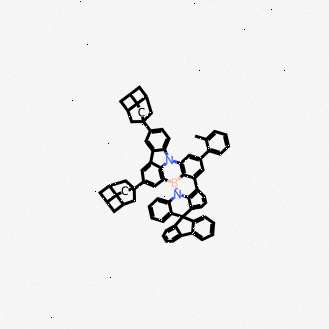 Cc1ccccc1-c1cc2c3c(c1)-n1c4ccc(C56CC7CC8CC(C5)C87C6)cc4c4cc(C56CC7CC8CC(C5)C87C6)cc(c41)B3N1c3ccccc3C3(c4ccccc4-c4ccccc43)c3cccc-2c31